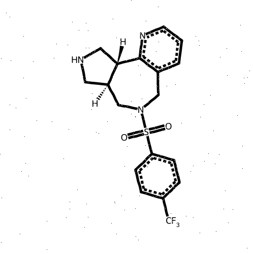 O=S(=O)(c1ccc(C(F)(F)F)cc1)N1Cc2cccnc2[C@H]2CNC[C@@H]2C1